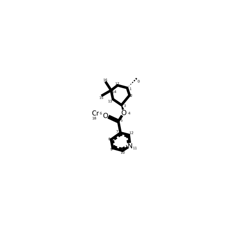 C[C@@H]1C[C@@H](OC(=O)c2cccnc2)CC(C)(C)C1.[Cr]